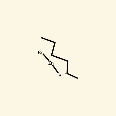 C[CH]CCCC.[Br][Zn][Br]